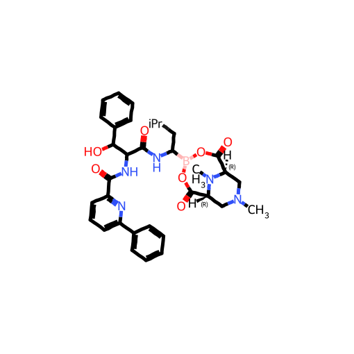 CC(C)CC(NC(=O)C(NC(=O)c1cccc(-c2ccccc2)n1)C(O)c1ccccc1)B1OC(=O)[C@H]2CN(C)C[C@H](C(=O)O1)N2C